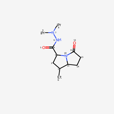 CCC1CC(C(=O)NN(C(C)C)C(C)C)N2C(=O)CCC12